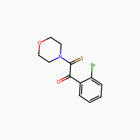 O=C(C(=S)N1CCOCC1)c1ccccc1Br